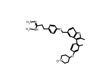 Cc1cc(OC2CC[S+]([O-])CC2)ccc1-c1c(C)sc2ccc(COc3ccc(CC/C(=N/N)NN)cc3)cc12